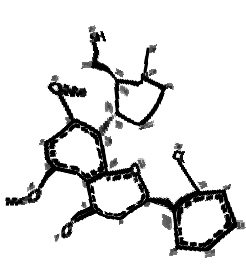 COc1cc(OC)c2c(=O)cc(-c3ccccc3Cl)oc2c1[C@H]1CCN(C)[C@@H]1CS